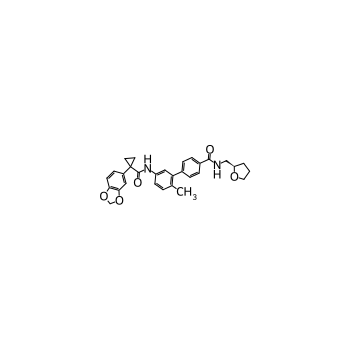 Cc1ccc(NC(=O)C2(c3ccc4c(c3)OCO4)CC2)cc1-c1ccc(C(=O)NC[C@H]2CCCO2)cc1